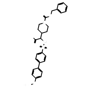 COc1ccc(-c2ccc(S(=O)(=O)NC(C(=O)O)C3CCN(C(=O)OCc4ccccc4)CC3)cc2)cc1